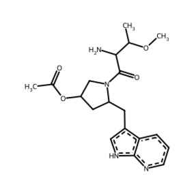 COC(C)C(N)C(=O)N1CC(OC(C)=O)CC1Cc1c[nH]c2ncccc12